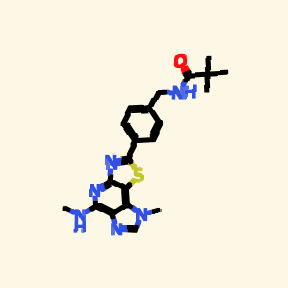 CNc1nc2nc(-c3ccc(CNC(=O)C(C)(C)C)cc3)sc2c2c1ncn2C